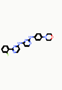 Fc1ccccc1-c1nccc(Nc2ccnc(Nc3ccc(N4CCOCC4)cc3)n2)n1